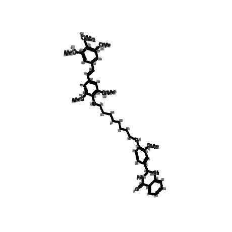 COc1cc(C2NC(=O)c3ccccc3N2)ccc1OCCCCCCCCOc1c(OC)cc(C=Cc2cc(OC)c(OC)c(OC)c2)cc1OC